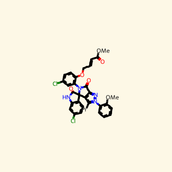 COC(=O)/C=C/COc1ccc(Cl)cc1N1C(=O)c2nn(-c3ccccc3OC)c(C(C)C)c2C12C(=O)Nc1cc(Cl)ccc12